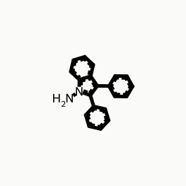 Nn1c(-c2ccccc2)c(-c2ccccc2)c2ccccc21